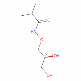 CC(C)C(=O)NOC[C@@H](O)CO